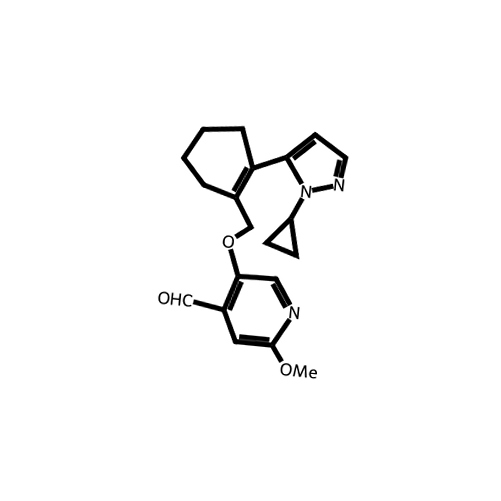 COc1cc(C=O)c(OCC2=C(c3ccnn3C3CC3)CCCC2)cn1